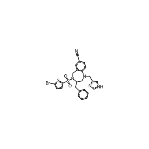 N#Cc1ccc2c(c1)CN(S(=O)(=O)c1ccc(Br)s1)C(Cc1ccccc1)CN2Cc1c[nH]cn1